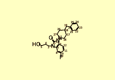 O=c1n(CCCO)c2cc(F)ccc2n1N1CCC(Cc2ccccc2)CC1